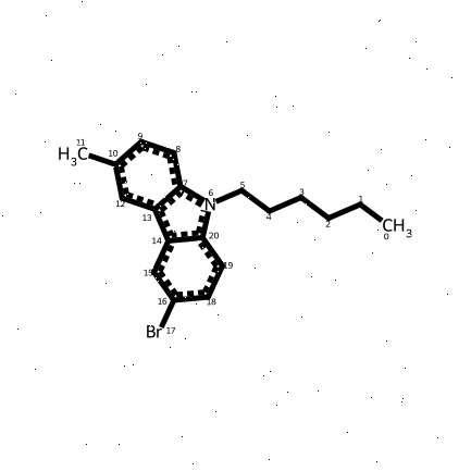 CCCCCCn1c2ccc(C)cc2c2cc(Br)ccc21